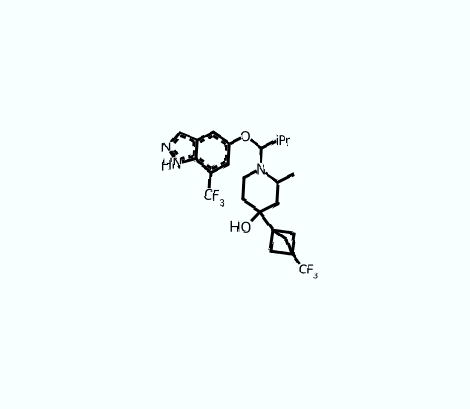 CC(C)C(Oc1cc(C(F)(F)F)c2[nH]ncc2c1)N1CCC(O)(C23CC(C(F)(F)F)(C2)C3)CC1C